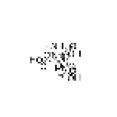 CC(=O)O.CC(C)[C@H](NC(=O)[C@@H]1CCCN1C(=O)[C@H](CCC(=O)O)NC(=O)[C@H](C)N)C(=O)O